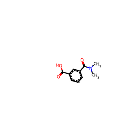 CN(C)C(=O)c1c[c]cc(C(=O)O)c1